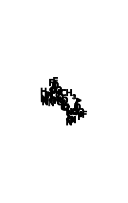 CC(C)Oc1cc(N(Cc2cnc[nH]2)c2cncc(C(=O)OC(=O)c3ccc(N(Cc4cncnc4)c4ccc(OC(F)F)c(OCC5CC5)c4)cc3)c2)ccc1OC(F)F